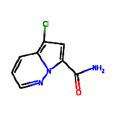 NC(=O)c1cc(Cl)c2cccnn12